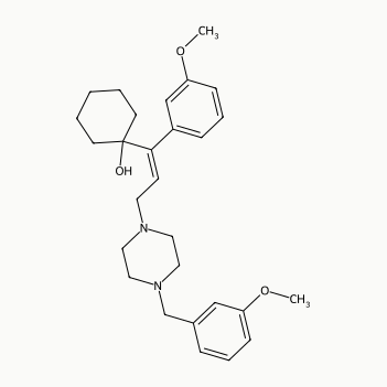 COc1cccc(CN2CCN(CC=C(c3cccc(OC)c3)C3(O)CCCCC3)CC2)c1